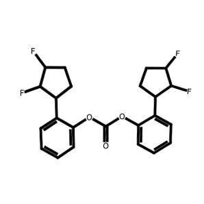 O=C(Oc1ccccc1C1CCC(F)C1F)Oc1ccccc1C1CCC(F)C1F